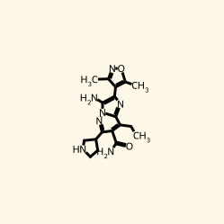 CCc1c(C(N)=O)c(C2CCNC2)nn2c(N)c(-c3c(C)noc3C)nc12